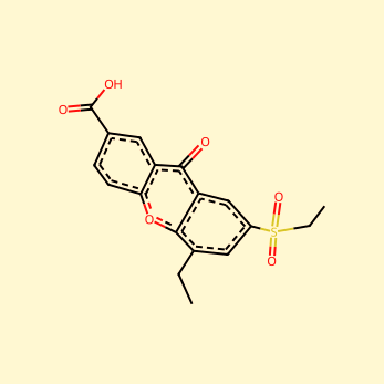 CCc1cc(S(=O)(=O)CC)cc2c(=O)c3cc(C(=O)O)ccc3oc12